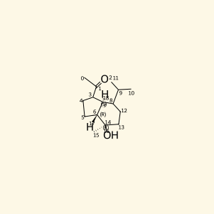 CC(=O)C1CC[C@@H]2[C@@H]1C(C(C)C)CC[C@@]2(C)O